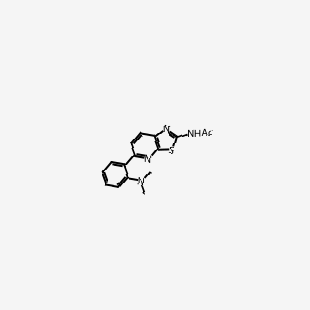 CC(=O)Nc1nc2ccc(-c3ccccc3N(C)C)nc2s1